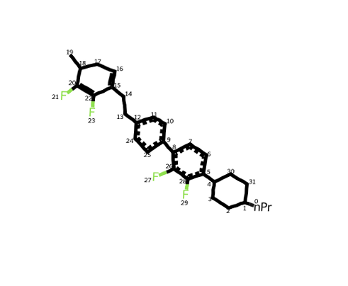 CCCC1CCC(c2ccc(-c3ccc(CCC4=CCC(C)C(F)=C4F)cc3)c(F)c2F)CC1